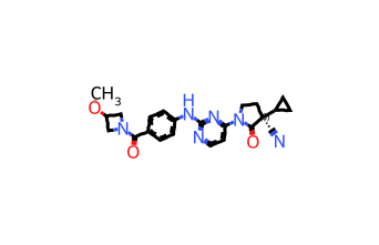 COC1CN(C(=O)c2ccc(Nc3nccc(N4CC[C@@](C#N)(C5CC5)C4=O)n3)cc2)C1